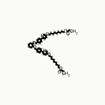 C=CC(=O)OCCCCCCCCCOc1ccc(-c2ccc(CO[C@@H]3CCCC[C@H]3OCc3ccc(-c4ccc(OCCCCCCCCCOC(=O)C=C)cn4)cc3)cc2)nc1